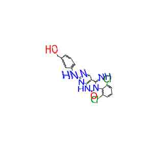 N=c1c2cnc(Nc3cccc(CO)c3)nc2[nH]c(=O)n1-c1c(Cl)cccc1Cl